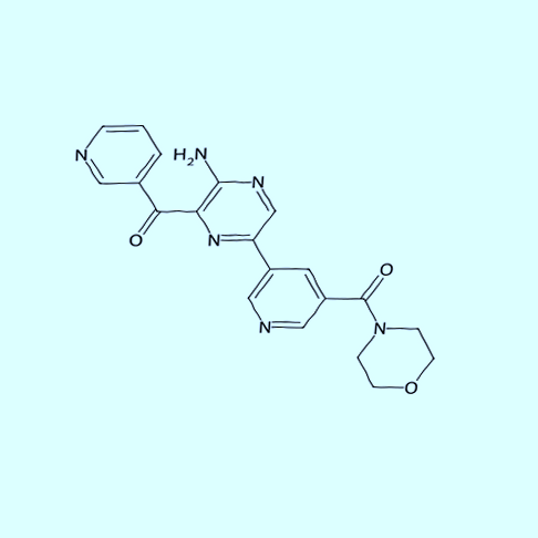 Nc1ncc(-c2cncc(C(=O)N3CCOCC3)c2)nc1C(=O)c1cccnc1